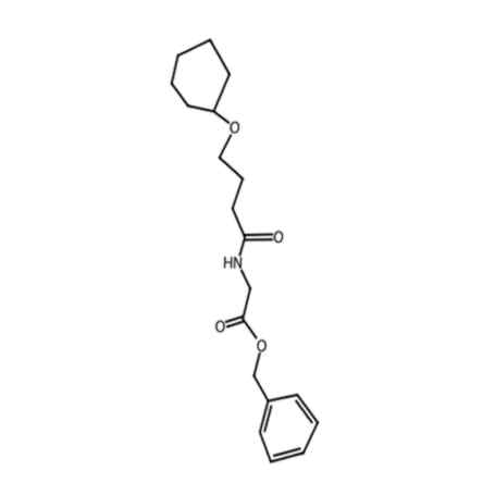 O=C(CCCOC1CCCCC1)NCC(=O)OCc1ccccc1